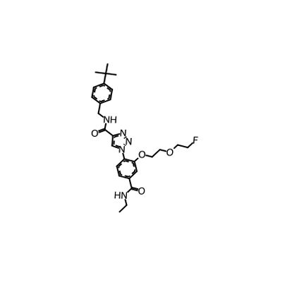 CCNC(=O)c1ccc(-n2cc(C(=O)NCc3ccc(C(C)(C)C)cc3)nn2)c(OCCOCCF)c1